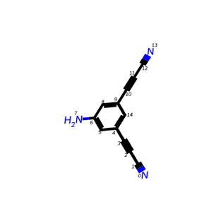 N#CC#Cc1cc(N)cc(C#CC#N)c1